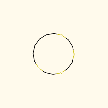 C1CCCSCCSCCSCCSCC1